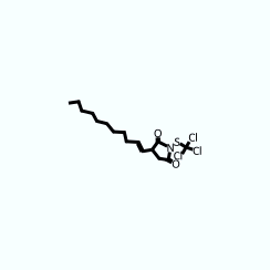 CCCCCCCCCC=CC1CC(=O)N(SC(Cl)(Cl)Cl)C1=O